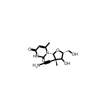 Cc1cc(=O)[nH]c(=O)n1[C@@H]1O[C@H](CO)C(O)[C@]1(C)C#CN